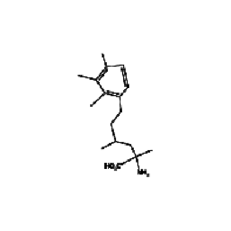 Cc1ccc(CCC(C)CC(C)(N)C(=O)O)c(C)c1C